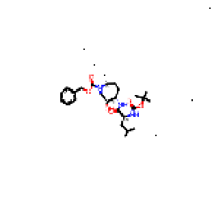 CC(C)C[C@H](NC(=O)OC(C)(C)C)C(=O)N[C@H]1CC[C@@H](C)N(C(=O)OCc2ccccc2)CC1O